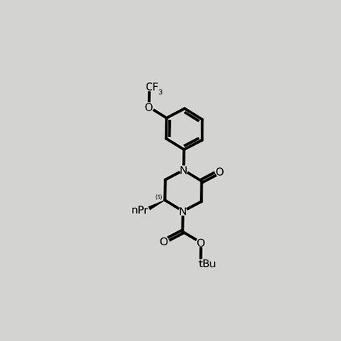 CCC[C@H]1CN(c2cccc(OC(F)(F)F)c2)C(=O)CN1C(=O)OC(C)(C)C